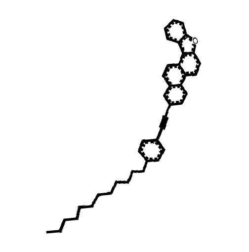 CCCCCCCCCCCCc1ccc(C#Cc2ccc3c(ccc4c3ccc3oc5ccccc5c34)c2)cc1